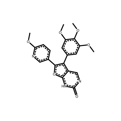 COc1ccc(-c2oc3[nH]c(=O)ncc3c2-c2cc(OC)c(OC)c(OC)c2)cn1